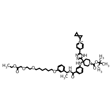 CCOC(=O)COCCOCCCCCCOc1cccc([C@@H](C)NC(=O)c2cccc(NC3(c4nnc(-c5cc[n+](C6CC67CC7)cc5)[nH]4)CCN(C(=O)OC(C)(C)C)CC3)c2)c1